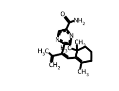 C=C(C)C(=CC1=C(C)CCCC1(C)C)c1cnc(C(N)=O)cn1